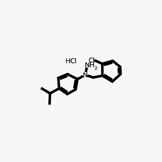 CC(C)c1ccc(N(N)Cc2ccccc2Cl)cc1.Cl